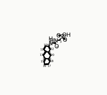 O=C(NCS(=O)(=O)O)Nc1ccc2cc3ccccc3cc2c1